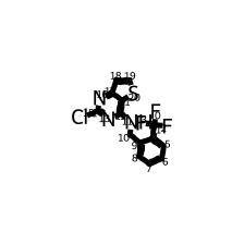 FC(F)(F)c1ccccc1CNc1nc(Cl)nc2ccsc12